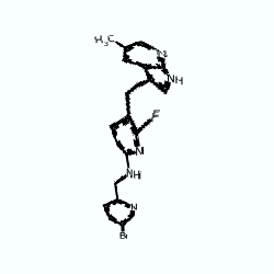 Cc1cnc2[nH]cc(Cc3ccc(NCc4ccc(Br)cn4)nc3F)c2c1